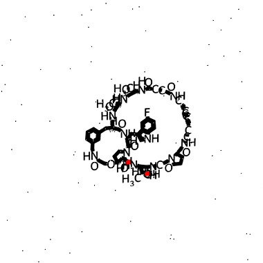 C[C@@H]1NC(=O)CCC(=O)NCc2ccc(cc2)CCNC(=O)C2CCCN2C(=O)CNC(=O)[C@H]([C@@H](C)O)NC(=O)[C@@H]2[C@@H]3CCN2C(=O)[C@H](Cc2c[nH]c4ccc(F)cc24)NC(=O)[C@H](Cc2cccc(c2)CNC(=O)CO3)NC(=O)[C@@H](C)NC1=O